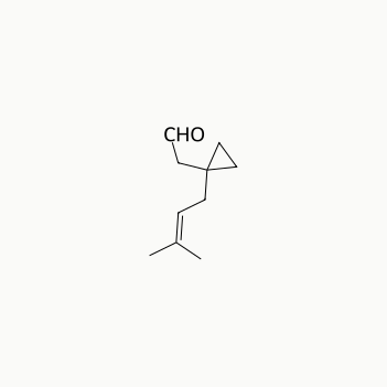 CC(C)=CCC1(CC=O)CC1